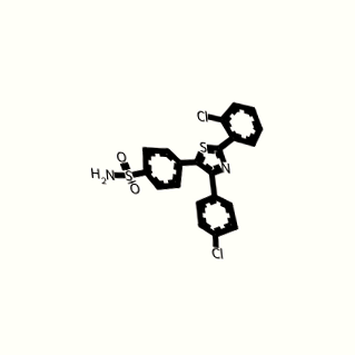 NS(=O)(=O)c1ccc(-c2sc(-c3ccccc3Cl)nc2-c2ccc(Cl)cc2)cc1